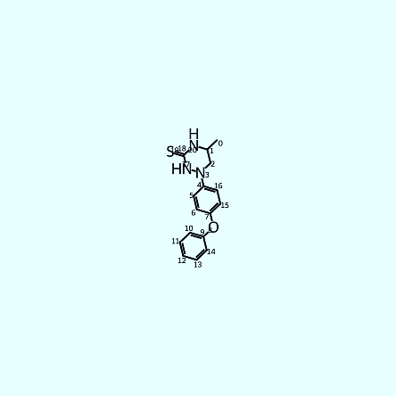 CC1CN(c2ccc(Oc3ccccc3)cc2)NC(=S)N1